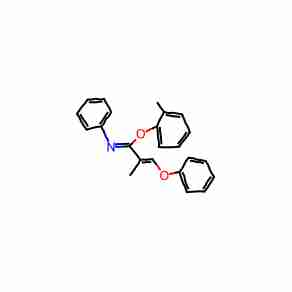 CC(=C\Oc1ccccc1)/C(=N/c1ccccc1)Oc1ccccc1C